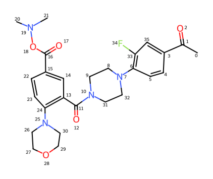 CC(=O)c1ccc(N2CCN(C(=O)c3cc(C(=O)ON(C)C)ccc3N3CCOCC3)CC2)c(F)c1